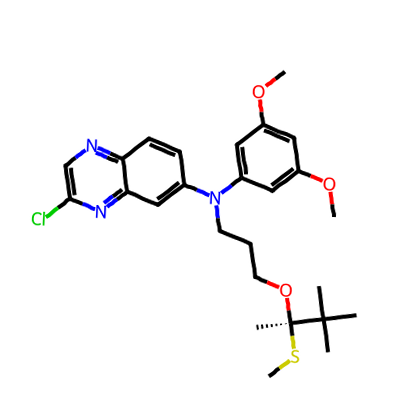 COc1cc(OC)cc(N(CCCO[C@](C)(SC)C(C)(C)C)c2ccc3ncc(Cl)nc3c2)c1